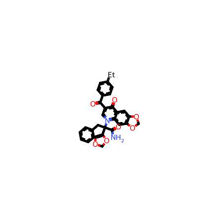 CCc1ccc(C(=O)c2cn(C(Cc3ccccc3)(C(N)=O)C3=COCO3)c3cc4c(cc3c2=O)OCO4)cc1